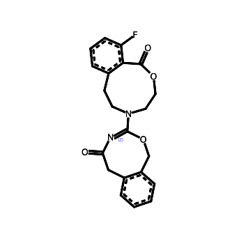 O=C1Cc2ccccc2CO/C(N2CCOC(=O)c3c(F)cccc3CC2)=N\1